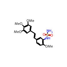 COc1ccc(/C=C/c2cc(OC)c(OC)c(OC)c2)cc1NS(N)(=O)=O